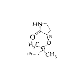 CC(C)C[Si](C)(C)O[C@@H]1CCNC1=O